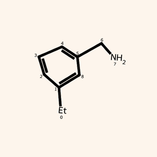 CCc1cccc(CN)c1